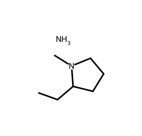 CCC1CCCN1C.N